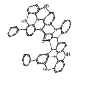 c1ccc(-c2cc3c4c(c2)B2c5sc6c7c5N(c5ccccc5N7c5ccc7c8c5B6c5ccc(-c6ccccc6)c6c5N8c5c(cccc5N6)N7)c5ccc6c(c52)N4c2c(cccc2N6)N3)cc1